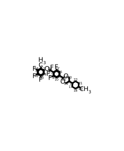 Cc1c(OC(F)(F)c2c(F)cc(C3OCC(C4CCC(C)CC4)CO3)cc2F)cc(F)c(F)c1F